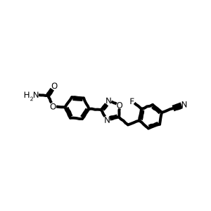 N#Cc1ccc(Cc2nc(-c3ccc(OC(N)=O)cc3)no2)c(F)c1